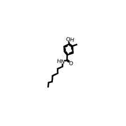 CCCCCCCNC(=O)c1ccc(O)c(C)c1